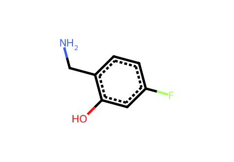 NCc1ccc(F)cc1O